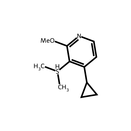 COc1nccc(C2CC2)c1[SH](C)C